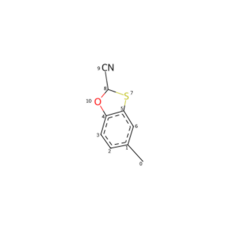 Cc1ccc2c(c1)SC(C#N)O2